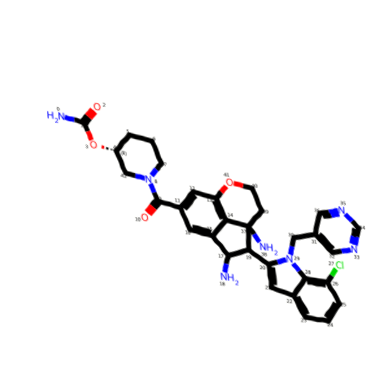 NC(=O)O[C@@H]1CCCN(C(=O)c2cc3c4c(c2)C(N)C(c2cc5cccc(Cl)c5n2Cc2cncnc2)C4(N)CCO3)C1